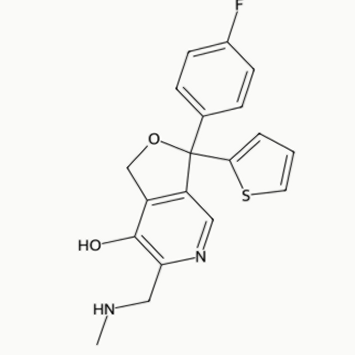 CNCc1ncc2c(c1O)COC2(c1ccc(F)cc1)c1cccs1